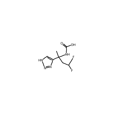 CC(CC(F)F)(NC(=O)O)c1c[nH]nn1